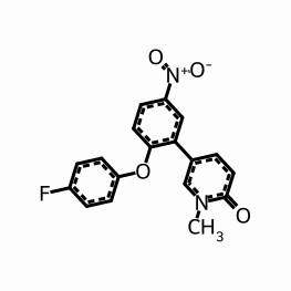 Cn1cc(-c2cc([N+](=O)[O-])ccc2Oc2ccc(F)cc2)ccc1=O